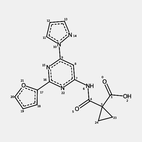 O=C(O)C1(C(=O)Nc2cc(-n3cccn3)nc(-c3ccco3)n2)CC1